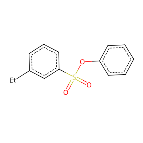 CCc1cccc(S(=O)(=O)Oc2ccccc2)c1